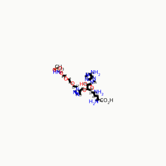 CS(=O)(=O)NOCCOCCOCCn1nncc1CO[C@H]1[C@@H](O)[C@H](n2cnc3c(N)ncnc32)O[C@@H]1C[C@@H](N)CC[C@H](N)C(=O)O